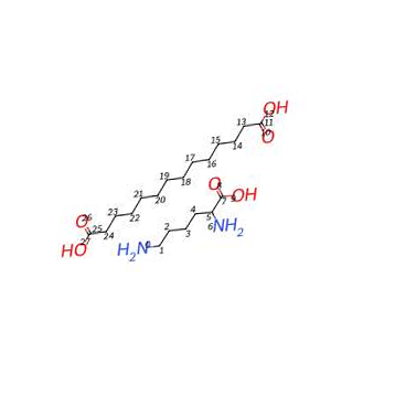 NCCCCC(N)C(=O)O.O=C(O)CCCCCCCCCCCCC(=O)O